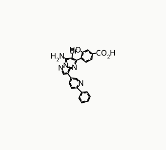 Nc1c(Br)c(-c2ccc(C(=O)O)cc2O)nc2c(-c3ccc(-c4ccccc4)nc3)cnn12